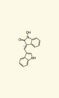 O=C1/C(=C/c2c[nH]c3ccccc23)c2ccccc2N1O